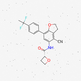 CC(F)(F)c1ccc(-c2cc(NC(=O)[C@H]3CCO3)c(C#N)c3c2OCC3)cc1